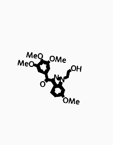 COc1ccc2c(C(=O)c3cc(OC)c(OC)c(OC)c3)nn(CCO)c2c1